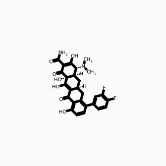 CN(C)[C@H]1C(O)=C(C(N)=O)C(=O)[C@]2(O)C(O)=C3C(=O)c4c(O)ccc(-c5ccc(F)c(F)c5)c4C[C@@H]3C[C@H]12